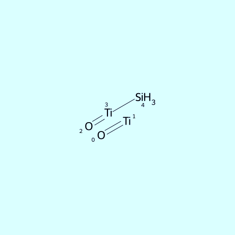 [O]=[Ti].[O]=[Ti][SiH3]